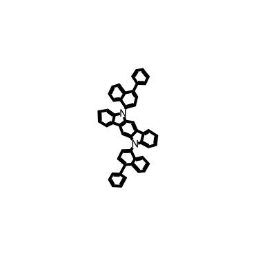 c1ccc(-c2ccc(-n3c4ccccc4c4cc5c(cc43)c3ccccc3n5-c3ccc(-c4ccccc4)c4ccccc34)c3ccccc23)cc1